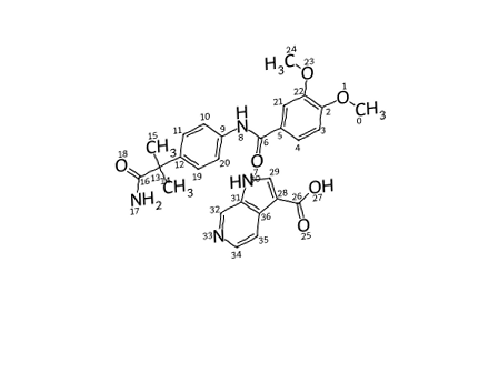 COc1ccc(C(=O)Nc2ccc(C(C)(C)C(N)=O)cc2)cc1OC.O=C(O)c1c[nH]c2cnccc12